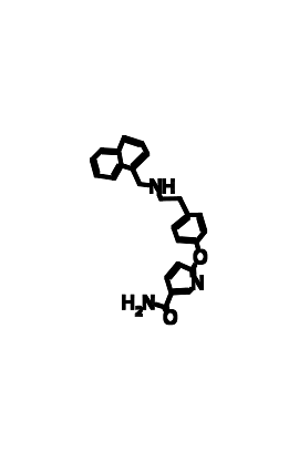 NC(=O)c1ccc(Oc2ccc(CCNCc3cccc4ccccc34)cc2)nc1